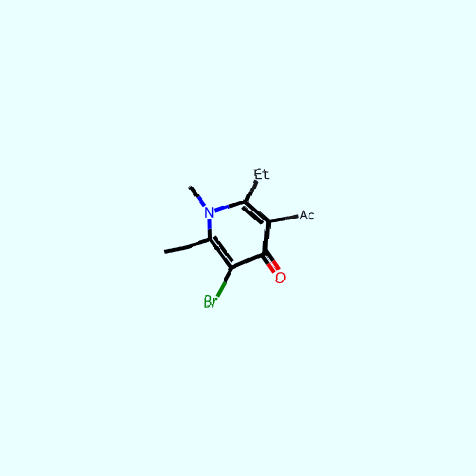 CCc1c(C(C)=O)c(=O)c(Br)c(C)n1C